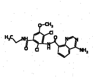 CCNC(=O)c1cc(OC)c(Cl)c(NC(=O)c2cccc3c(N)ncnc23)c1Cl